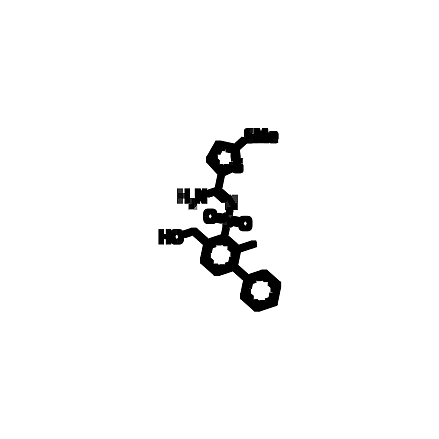 CSc1ccc(C(N)=NS(=O)(=O)c2c(CO)ccc(-c3ccccc3)c2C)s1